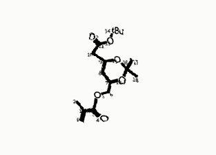 C=C(C)C(=O)OCC1CC(CC(=O)OC(C)(C)C)OC(C)(C)O1